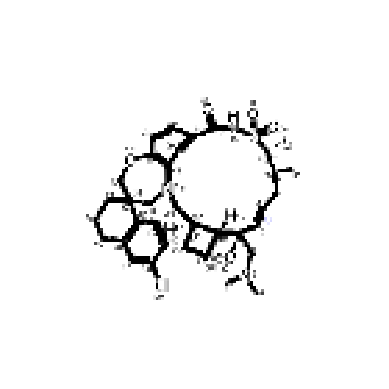 CO[C@]1(CN(C)C)/C=C/C[C@H](C)[C@@H](C)S(=O)(=O)NC(=O)c2ccc3c(c2)N(C[C@@H]2CC[C@H]21)C[C@@]1(CCCc2cc(Cl)ccc21)CO3